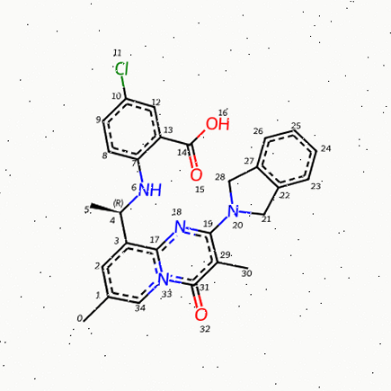 Cc1cc([C@@H](C)Nc2ccc(Cl)cc2C(=O)O)c2nc(N3Cc4ccccc4C3)c(C)c(=O)n2c1